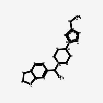 CC(C1=CC2OCCC2C=C1)N1CCC(n2cc(CN)cn2)CC1